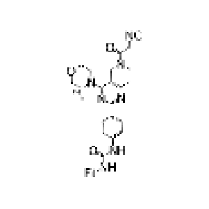 [C-]#[N+]CC(=O)N1CCc2nc(-c3ccc(NC(=O)NCC)cc3)nc(N3CCOC[C@@H]3C)c2C1